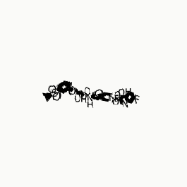 O=C(N[C@H]1COC2(CCN(S(=O)(=O)c3cnc4cc(F)ccc4c3O)CC2)C1)OCC(O)COc1cccc(S(=O)(=O)C2CC2)c1